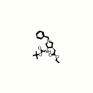 CCOC(=O)C[C@@H]1CN(Cc2ccccc2)C[C@H]1NC(=O)OC(C)(C)C